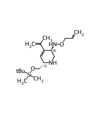 C=CCON[C@H]1CN[C@H](CO[Si](C)(C)C(C)(C)C)C=C1C(=C)C